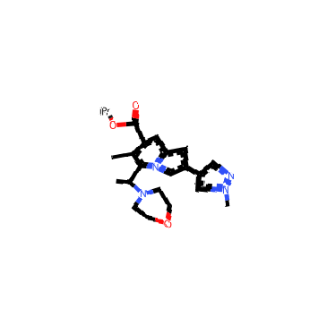 Cc1c(C(=O)OC(C)C)cc2cc(-c3cnn(C)c3)cn2c1C(C)N1CCOCC1